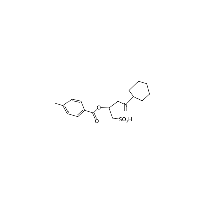 Cc1ccc(C(=O)OC(CNC2CCCCC2)CS(=O)(=O)O)cc1